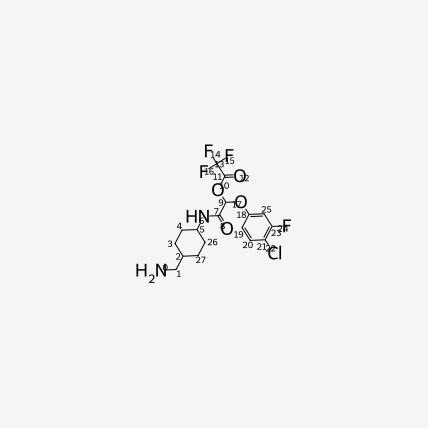 NCC1CCC(NC(=O)C(OC(=O)C(F)(F)F)Oc2ccc(Cl)c(F)c2)CC1